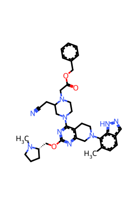 Cc1ccc2cn[nH]c2c1N1CCc2c(nc(OC[C@@H]3CCCN3C)nc2N2CCN(CC(=O)OCc3ccccc3)C(CC#N)C2)C1